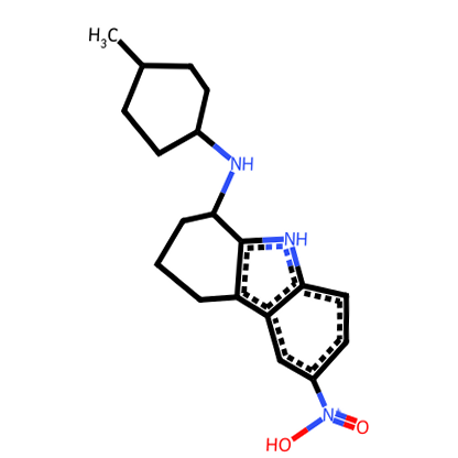 CC1CCC(NC2CCCc3c2[nH]c2ccc([N+](=O)O)cc32)CC1